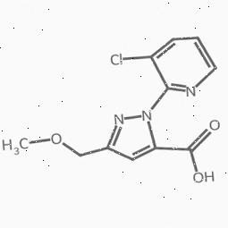 COCc1cc(C(=O)O)n(-c2ncccc2Cl)n1